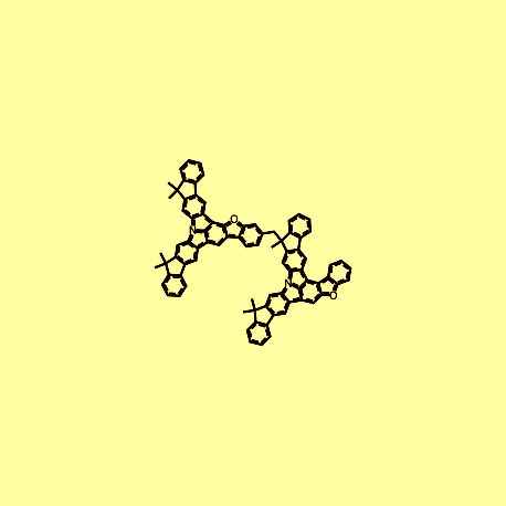 CC1(C)c2ccccc2-c2cc3c4cc5c6ccc(CC7(C)c8ccccc8-c8cc9c%10c%11c(cc%12c%13cc%14c(cc%13n(c9cc87)c%12%10)C(C)(C)c7ccccc7-%14)oc7ccccc7%11)cc6oc5c5c6cc7c(cc6n(c3cc21)c45)C(C)(C)c1ccccc1-7